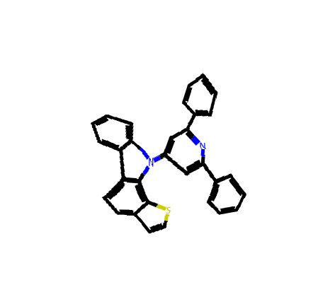 c1ccc(-c2cc(-n3c4ccccc4c4ccc5ccsc5c43)cc(-c3ccccc3)n2)cc1